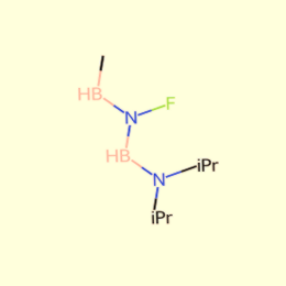 CBN(F)BN(C(C)C)C(C)C